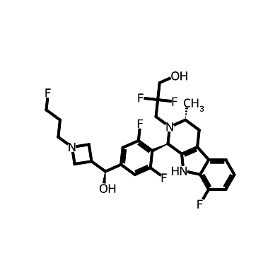 C[C@@H]1Cc2c([nH]c3c(F)cccc23)[C@@H](c2c(F)cc([C@@H](O)C3CN(CCCF)C3)cc2F)N1CC(F)(F)CO